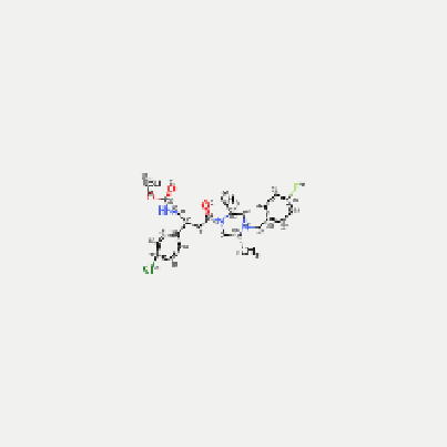 C[C@@H]1CN(C(=O)CC(CNC(=O)OC(C)(C)C)c2ccc(Cl)cc2)[C@@H](C)CN1Cc1ccc(F)cc1